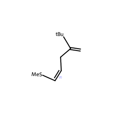 C=C(C/C=C\SC)C(C)(C)C